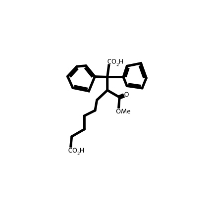 COC(=O)C(CCCCCC(=O)O)C(C(=O)O)(c1ccccc1)c1ccccc1